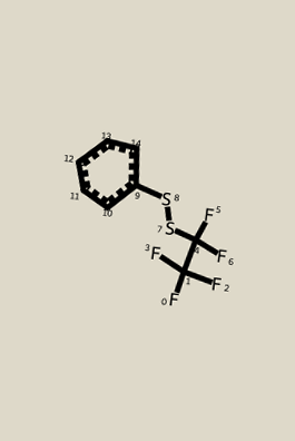 FC(F)(F)C(F)(F)SSc1ccccc1